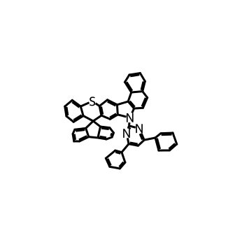 c1ccc(-c2cc(-c3ccccc3)nc(-n3c4cc5c(cc4c4c6ccccc6ccc43)Sc3ccccc3C53c4ccccc4-c4ccccc43)n2)cc1